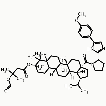 COc1ccc(-c2cnc([C@@H]3CCCN3C(=O)[C@]34CC[C@@H](C(C)C)[C@@H]3[C@H]3CC[C@@H]5[C@@]6(C)CC[C@H](OC(=O)CC(C)(C)OC=O)C(C)(C)[C@@H]6CC[C@@]5(C)[C@]3(C)CC4)[nH]2)cc1